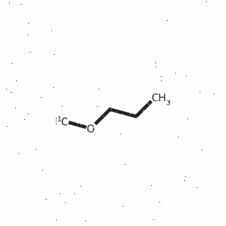 CCCO[1C]